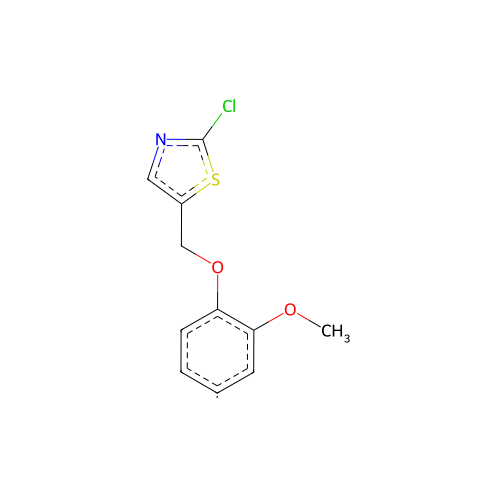 COc1c[c]ccc1OCc1cnc(Cl)s1